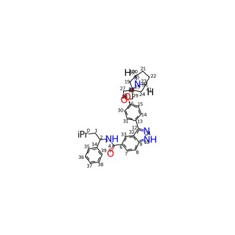 CC(C)CC(NC(=O)c1ccc2[nH]nc(-c3ccc(O[C@@H]4C[C@H]5CC[C@@H](C4)N5C4COC4)cc3)c2c1)c1ccccc1